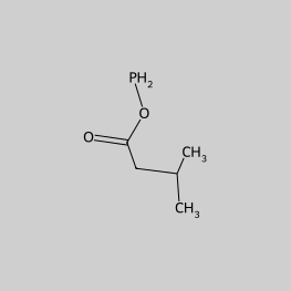 CC(C)CC(=O)OP